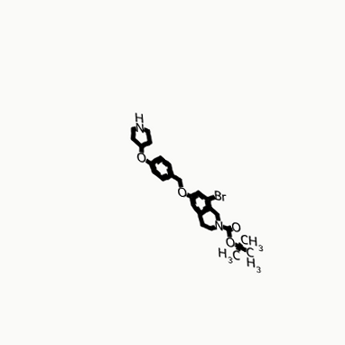 CC(C)(C)OC(=O)N1CCc2cc(OCc3ccc(OC4CCNCC4)cc3)cc(Br)c2C1